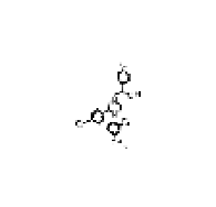 Cc1ccc(N2CCN(CC(O)c3ccc(Cl)cc3)CC2c2ccc(Cl)cc2)c(Cl)c1